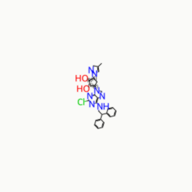 Cc1cnn([C@H]2C[C@@H](n3cnc4c(NCC(c5ccccc5)c5ccccc5)nc(Cl)nc43)[C@H](O)[C@@H]2O)c1